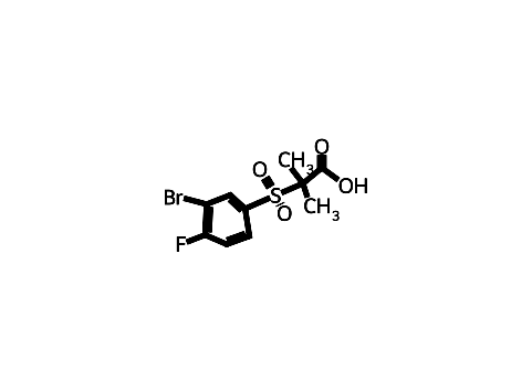 CC(C)(C(=O)O)S(=O)(=O)c1ccc(F)c(Br)c1